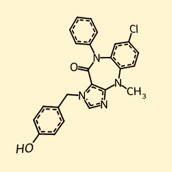 CN1c2ccc(Cl)cc2N(c2ccccc2)C(=O)c2c1ncn2Cc1ccc(O)cc1